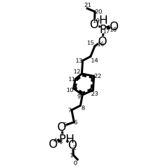 CCO[PH](=O)OCCCc1ccc(CCCO[PH](=O)OCC)cc1